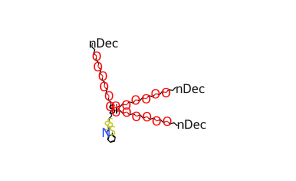 CCCCCCCCCCCCCOCCOCCOCCOCCOCCO[Si](CCCSSc1nc2ccccc2s1)(OCCOCCOCCOCCOCCOCCCCCCCCCCCCC)OCCOCCOCCOCCOCCOCCCCCCCCCCCCC